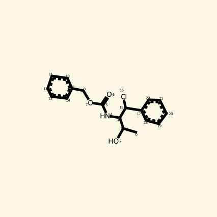 CC(O)C(NC(=O)OCc1ccccc1)C(Cl)c1ccccc1